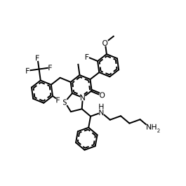 COc1cccc(-c2c(C)c(Cc3c(F)cccc3C(F)(F)F)c3n(c2=O)C(C(NCCCCN)c2ccccc2)CS3)c1F